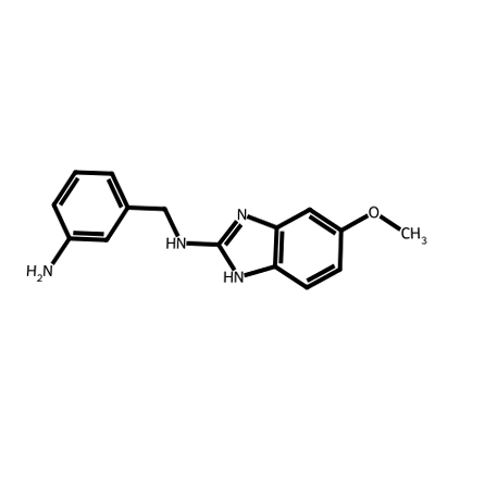 COc1ccc2[nH]c(NCc3cccc(N)c3)nc2c1